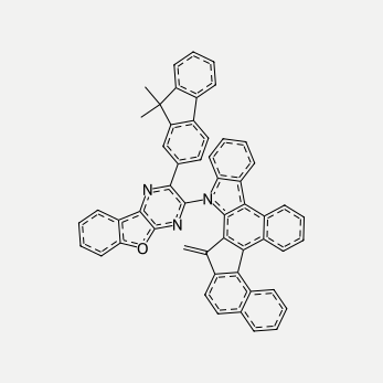 C=C1c2ccc3ccccc3c2-c2c1c1c(c3ccccc23)c2ccccc2n1-c1nc2oc3ccccc3c2nc1-c1ccc2c(c1)C(C)(C)c1ccccc1-2